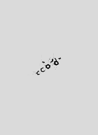 C=CC(=O)Nc1cc(Nc2cc(N[C@H](CCO)c3cccc(Cl)c3)ncn2)c(OC)cc1N1CCC(N2CCC(N(C)C)C2)CC1